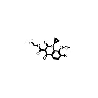 CCOC(=O)C1C(=O)c2ccc(Br)c(OC)c2N(C2CC2)C1=O